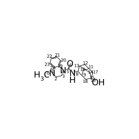 CN1CCN(C(=O)NC2C3CC4CC2CC(O)(C4)C3)c2ccccc21